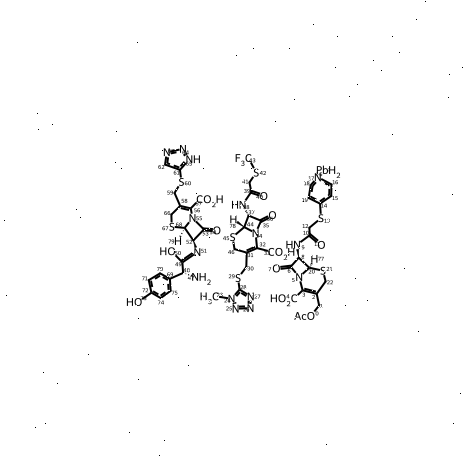 CC(=O)OCC1=C(C(=O)O)N2C(=O)[C@@H](NC(=O)CSc3ccncc3)[C@H]2SC1.Cn1nnnc1SCC1=C(C(=O)O)N2C(=O)[C@@H](NC(=O)CSC(F)(F)F)[C@H]2SC1.N[C@@H](C(O)=N[C@@H]1C(=O)N2C(C(=O)O)=C(CSc3cnn[nH]3)CS[C@H]12)c1ccc(O)cc1.[PbH2]